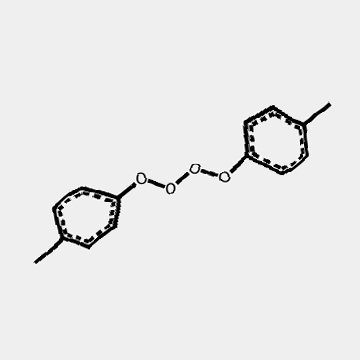 Cc1ccc(OOOOc2ccc(C)cc2)cc1